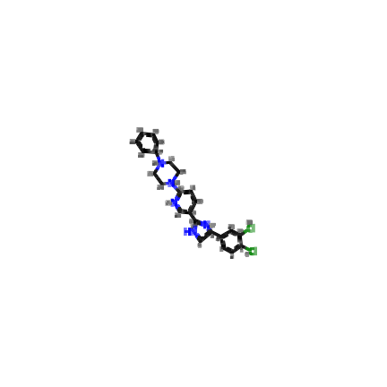 Clc1ccc(-c2c[nH]c(-c3ccc(N4CCN(c5ccccc5)CC4)nc3)n2)cc1Cl